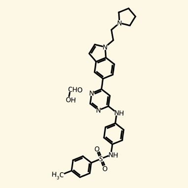 Cc1ccc(S(=O)(=O)Nc2ccc(Nc3cc(-c4ccc5c(ccn5CCN5CCCC5)c4)ncn3)cc2)cc1.O=CO